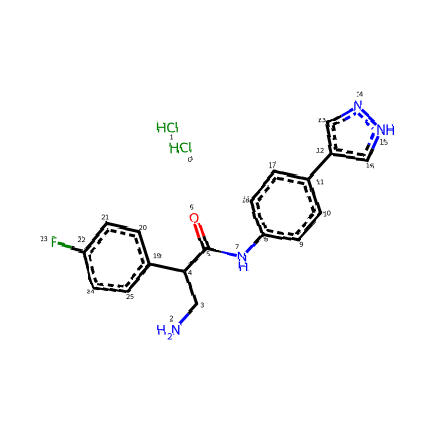 Cl.Cl.NCC(C(=O)Nc1ccc(-c2cn[nH]c2)cc1)c1ccc(F)cc1